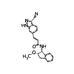 CO[C@H]1Cc2ccccc2[C@@H]1NC(=O)/C=C/c1ccc2c(C#N)n[nH]c2c1